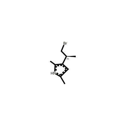 Cc1cc([C@H](C)CBr)c(C)[nH]1